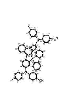 Cc1ccc(N(c2ccc(C#N)cc2)c2ccc3c(c2)C2(c4ccccc4-c4ccccc42)c2c-3c3ccccc3c3cc(N(c4ccc(C#N)cc4)c4ccc(C)nc4)ccc23)cn1